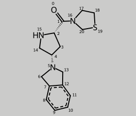 O=C([C@@H]1C[C@H](N2Cc3ccccc3C2)CN1)N1CCSC1